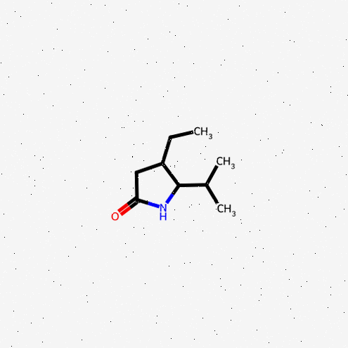 CCC1CC(=O)NC1C(C)C